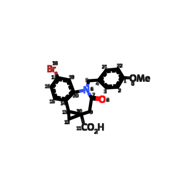 COc1ccc(CN2C(=O)CC3(C(=O)O)CC3c3ccc(Br)cc32)cc1